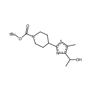 Cc1sc(C2CCN(C(=O)OC(C)(C)C)CC2)nc1C(C)O